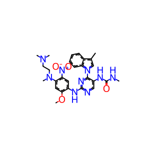 CNC(=O)Nc1cnc(Nc2cc([N+](=O)[O-])c(N(C)CCN(C)C)cc2OC)nc1-n1cc(C)c2ccccc21